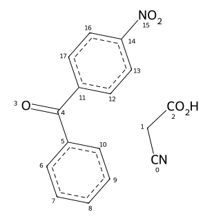 N#CCC(=O)O.O=C(c1ccccc1)c1ccc([N+](=O)[O-])cc1